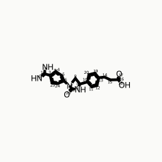 N=C(N)c1ccc(N2CC(c3ccc(CCC(=O)O)cc3)NC2=O)cc1